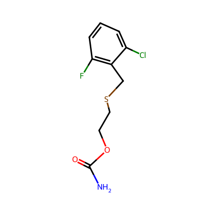 NC(=O)OCCSCc1c(F)cccc1Cl